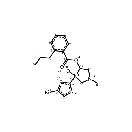 CCCc1ccccc1C(=O)OC1CN(C)C[N+]1([O-])c1ncc(Br)s1